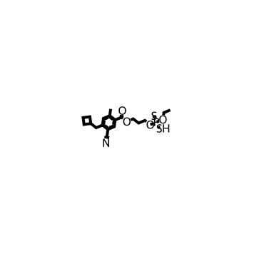 CCOP(=S)(S)OCCCOC(=O)c1cc(C#N)c(CC2CCC2)cc1C